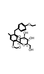 CCOc1ccc(Cc2cc3c(cc2C)OCO[C@]32O[C@H](CO)[C@@H](O)[C@H](O)[C@H]2O)cc1